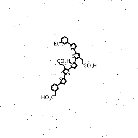 CCc1cccc(-c2ccc(-c3cc(CCC(=O)O)c(-c4ccc(-c5sc(-c6ccc(-c7cccc(CC(=O)O)c7)s6)cc5CCC(=O)O)s4)s3)s2)c1